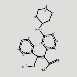 CO/C(=C(\C(C)=N)c1ccnc(NC2CCNCC2)n1)c1ccccc1